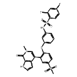 Cn1cc(-c2cc(S(C)(=O)=O)ccc2Oc2cccc(NS(=O)(=O)c3ccc(F)cc3Cl)c2)c2cc[nH]c2c1=O